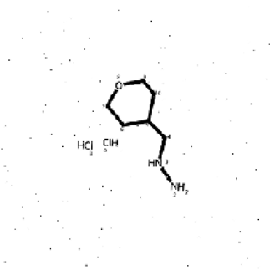 Cl.Cl.NNCC1CCOCC1